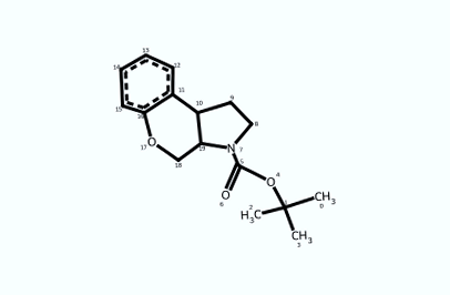 CC(C)(C)OC(=O)N1CCC2c3ccccc3OCC21